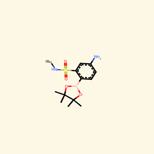 CC(C)(C)NS(=O)(=O)c1cc(N)ccc1B1OC(C)(C)C(C)(C)O1